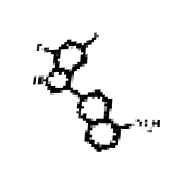 O=C(O)c1cccc2nc(-c3c[nH]c4c(F)cc(F)cc34)ccc12